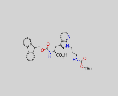 CC(C)(C)OC(=O)NCCCn1cc(C[C@H](NC(=O)OCC2c3ccccc3-c3ccccc32)C(=O)O)c2cccnc21